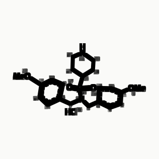 COc1ccc(CN(Cc2ccc(OC)cc2)S(=O)(=O)C2CCNCC2)cc1.Cl